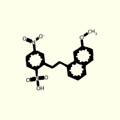 COc1ccc2cccc(CCc3cc([N+](=O)[O-])ccc3S(=O)(=O)O)c2c1